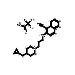 N#Cc1c(NCCCN2CCC(CC3CC3)CC2)ccc2ccccc12.O=C(O)C(F)(F)F